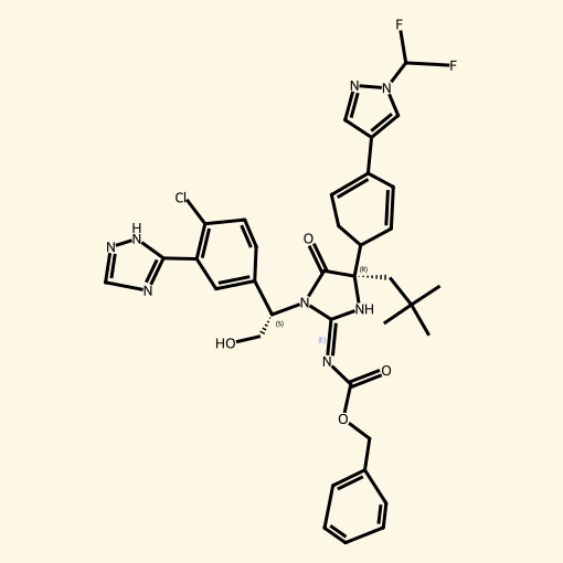 CC(C)(C)C[C@]1(C2C=CC(c3cnn(C(F)F)c3)=CC2)N/C(=N\C(=O)OCc2ccccc2)N([C@H](CO)c2ccc(Cl)c(-c3ncn[nH]3)c2)C1=O